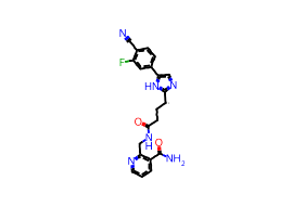 N#Cc1ccc(-c2cnc([CH]CCC(=O)NCc3ncccc3C(N)=O)[nH]2)cc1F